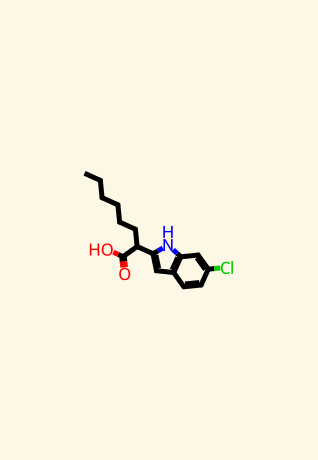 CCCCCCC(C(=O)O)c1cc2ccc(Cl)cc2[nH]1